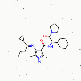 CC=C/C(=N\c1c(C(=O)N[C@@H](C(=O)N2CCCC2)C2CCCCC2)c[nH]c1C)C1CC1